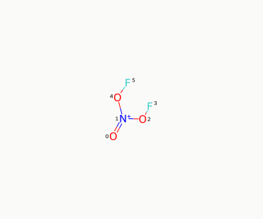 O=[N+](OF)OF